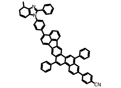 CC1CC=Cc2c1nc(-c1ccccc1)n2-c1ccc(-c2ccc3c4c(cccc24)-c2cc4c(cc2-3)c(-c2ccccc2)cc2c3ccc(-c5ccc(C#N)cc5)cc3c(-c3ccccc3)cc42)cc1